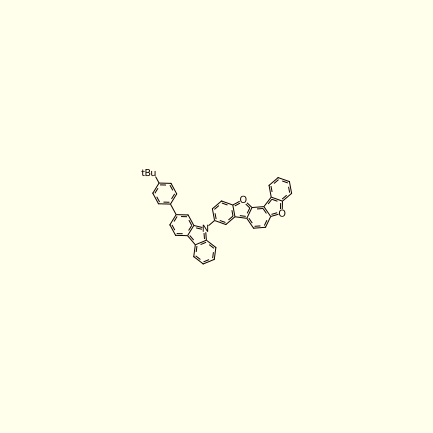 CC(C)(C)c1ccc(-c2ccc3c4ccccc4n(-c4ccc5oc6c(ccc7oc8ccccc8c76)c5c4)c3c2)cc1